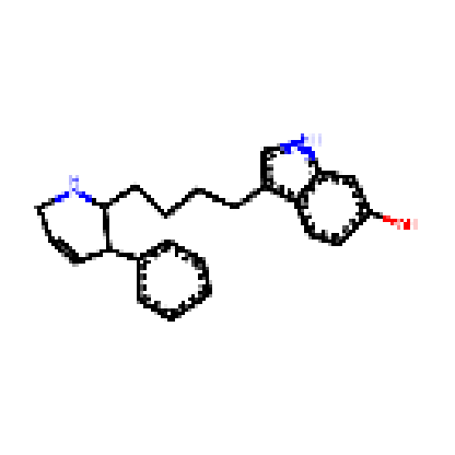 Oc1ccc2c(CCCCC3NCC=CC3c3ccccc3)c[nH]c2c1